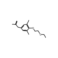 C=C(C)Cc1cc(C)c(OCCOCC)c(C)c1